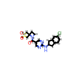 O=C(c1cnc(NC2Cc3ccc(Cl)cc3C2)nc1)N1CCC12CS(=O)(=O)C2